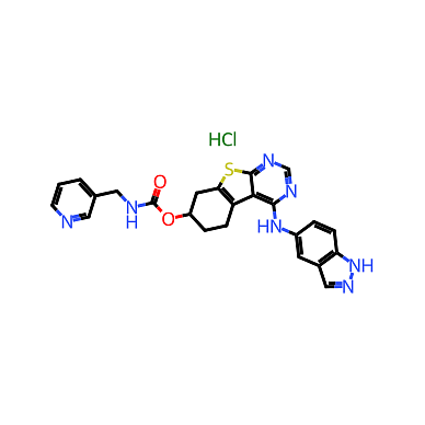 Cl.O=C(NCc1cccnc1)OC1CCc2c(sc3ncnc(Nc4ccc5[nH]ncc5c4)c23)C1